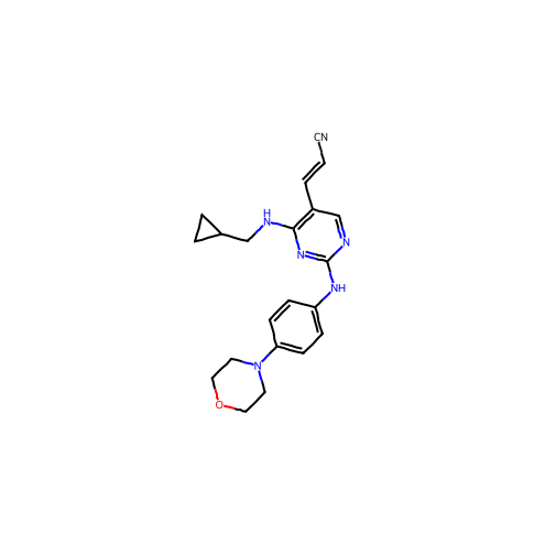 N#CC=Cc1cnc(Nc2ccc(N3CCOCC3)cc2)nc1NCC1CC1